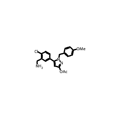 COc1ccc(Cn2nc(OC(C)=O)cc2-c2ccc(Cl)c(CN)c2)cc1